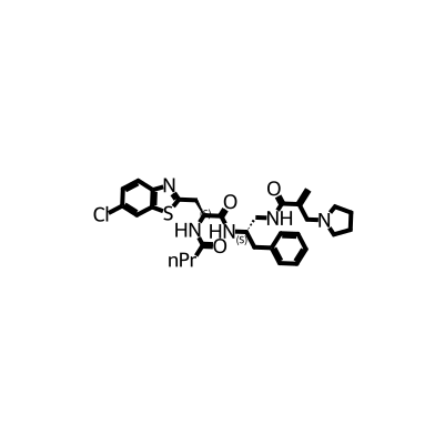 C=C(CN1CCCC1)C(=O)NC[C@H](Cc1ccccc1)NC(=O)[C@H](Cc1nc2ccc(Cl)cc2s1)NC(=O)CCC